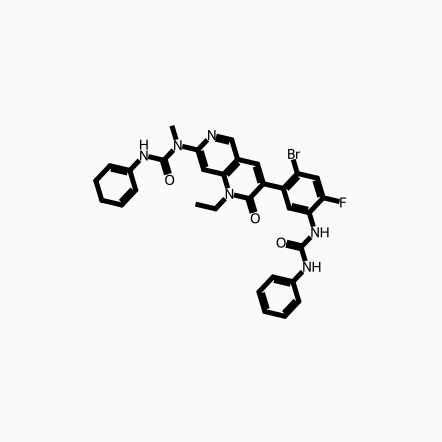 CCn1c(=O)c(-c2cc(NC(=O)Nc3ccccc3)c(F)cc2Br)cc2cnc(N(C)C(=O)NC3=CCCC=C3)cc21